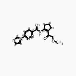 COCC(=O)C1=C(NC(=O)c2ccc(-n3ccnc3)nn2)CCC1